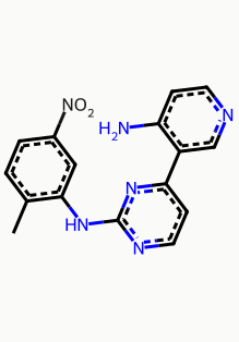 Cc1ccc([N+](=O)[O-])cc1Nc1nccc(-c2cnccc2N)n1